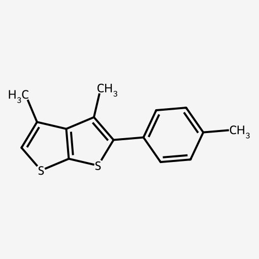 Cc1ccc(-c2sc3scc(C)c3c2C)cc1